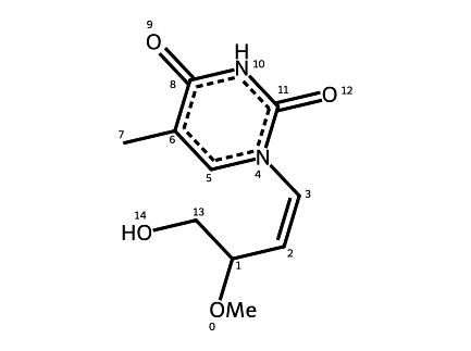 COC(/C=C\n1cc(C)c(=O)[nH]c1=O)CO